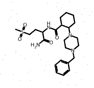 CS(=O)(=O)CCC(NC(=O)C1CCCCC1N1CCN(Cc2ccccc2)CC1)C(N)=O